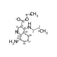 CCCNc1c(C(=O)OCC)cnc2c(N)cccc12